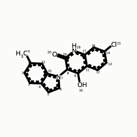 Cc1ccc2ccn(-c3c(O)c4ccc(Cl)cc4[nH]c3=O)c2c1